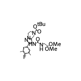 COC(CNC(=O)Nc1c(-c2cc(C)c(F)c(C)c2)nn2c1CN(C(=O)OC(C)(C)C)CC2)OC